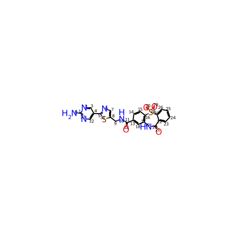 Nc1ncc(-c2ncc(CNC(=O)c3ccc4c(c3)NC(=O)c3ccccc3S4(=O)=O)s2)cn1